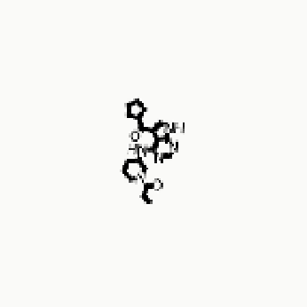 C=CC(=O)N1CCCC(Nc2ncnc3[nH]cc(C(=O)C4CCCC4)c23)C1